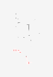 C=C1CCC(C)(CC(=O)O)C1C